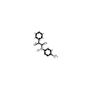 Cc1ccc([S+]([O-])C(Cl)C(Cl)c2ccccc2)cc1